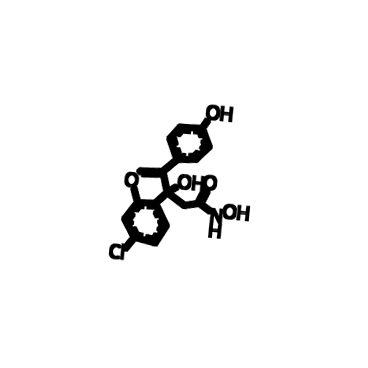 O=C(CC1(O)C(c2ccc(O)cc2)=COc2cc(Cl)ccc21)NO